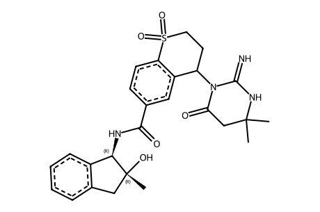 CC1(C)CC(=O)N(C2CCS(=O)(=O)c3ccc(C(=O)N[C@@H]4c5ccccc5C[C@@]4(C)O)cc32)C(=N)N1